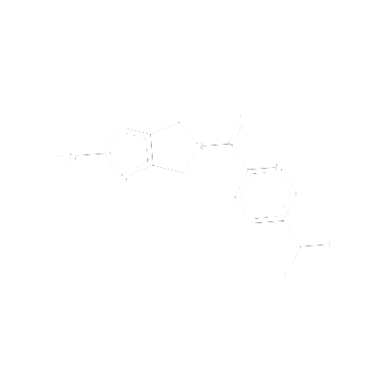 Nc1nc2c(s1)CN(C(=O)c1ccc(C(F)F)cn1)C2